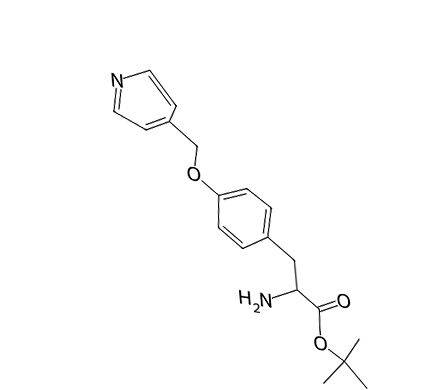 CC(C)(C)OC(=O)C(N)Cc1ccc(OCc2ccncc2)cc1